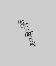 O=C(NO)c1ccc2cc(C(=O)NCc3cccc(OC(F)F)c3)ccc2c1